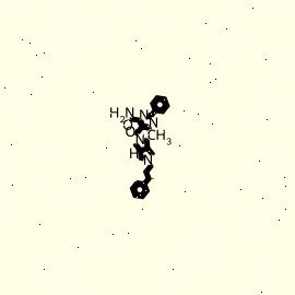 Cc1nc(-c2ccccc2)nc(C(N)=O)c1C(=O)N1CC2CN(CC[CH]c3ccccc3)C[C@H]2C1